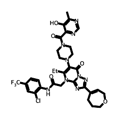 CCc1c(N2CCN(C(=O)c3ncnc(C)c3O)CC2)c(=O)n2nc(C3=CCOCCC3)nc2n1CC(=O)Nc1ccc(C(F)(F)F)cc1Cl